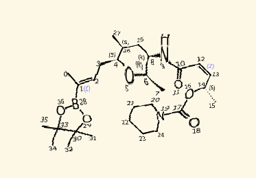 C/C(=C\C[C@@H]1O[C@H](C)[C@H](NC(=O)/C=C\[C@H](C)OC(=O)N2CCCCC2)C[C@@H]1C)B1OC(C)(C)C(C)(C)O1